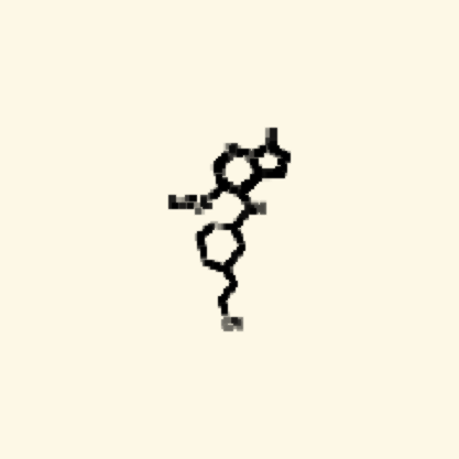 CCOC(=O)c1cnc2[nH]ccc2c1NC1CCCC(CCC#N)C1